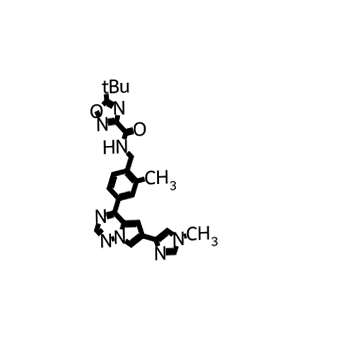 Cc1cc(-c2ncnn3cc(-c4cn(C)cn4)cc23)ccc1CNC(=O)c1noc(C(C)(C)C)n1